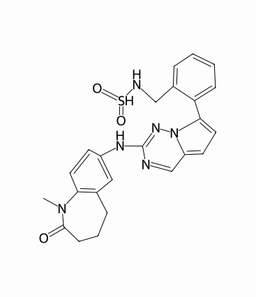 CN1C(=O)CCCc2cc(Nc3ncc4ccc(-c5ccccc5CN[SH](=O)=O)n4n3)ccc21